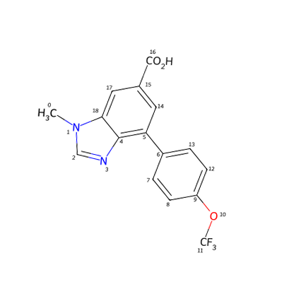 Cn1cnc2c(-c3ccc(OC(F)(F)F)cc3)cc(C(=O)O)cc21